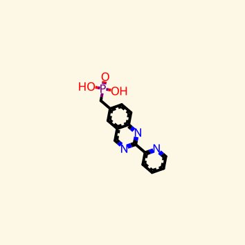 O=P(O)(O)Cc1ccc2nc(-c3ccccn3)ncc2c1